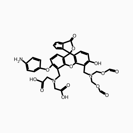 Nc1ccc(Oc2ccc3c(c2CN(CC(=O)O)CC(=O)O)Oc2c(ccc(O)c2CN(COC=O)COC=O)C32OC(=O)c3ccccc32)cc1